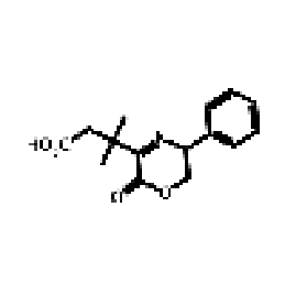 CC(C)(CC(=O)O)C1=NC(c2ccccc2)COC1=O